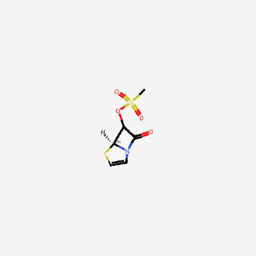 CS(=O)(=O)OC1C(=O)N2C=CS[C@@H]12